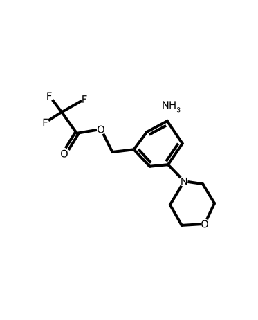 N.O=C(OCc1cccc(N2CCOCC2)c1)C(F)(F)F